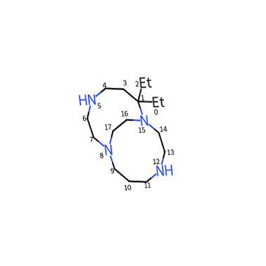 CCC1(CC)CCNCCN2CCCNCCN1CC2